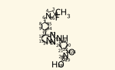 CC1(F)CCN(Cc2ccc(-c3cccn4nc(Nc5ccc(C(=O)N6CC(O)C6)cc5)nc34)cc2)C1